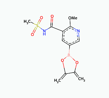 C=C1OB(c2cnc(OC)c(C(=O)NS(C)(=O)=O)c2)OC1=C